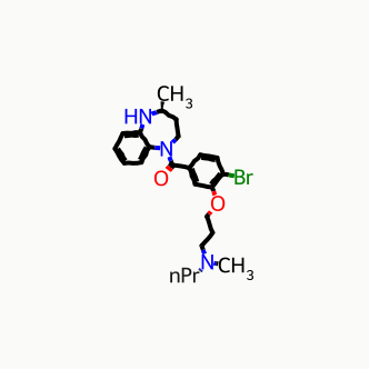 CCCN(C)CCCOc1cc(C(=O)N2CC[C@H](C)Nc3ccccc32)ccc1Br